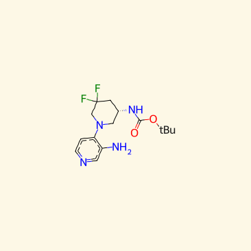 CC(C)(C)OC(=O)N[C@@H]1CN(c2ccncc2N)CC(F)(F)C1